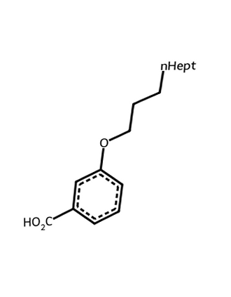 CCCCCCCCCCOc1cccc(C(=O)O)c1